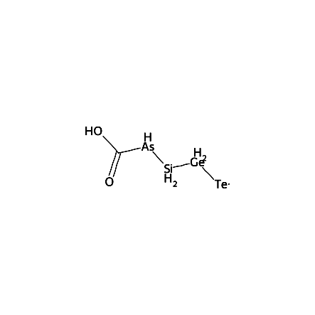 O=C(O)[AsH][SiH2][GeH2][Te]